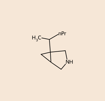 CCCC(C)C12CNCC1C2